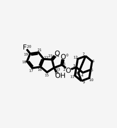 O=C(OC12CC3CC(CC(C3)C1)C2)C1(O)Cc2ccc(F)cc2C1=O